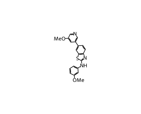 COc1cccc(Nc2nc3ccc(-c4cncc(OC)c4)cc3s2)c1